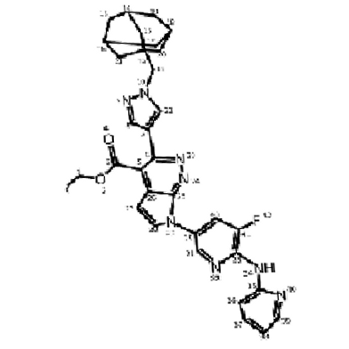 CCOC(=O)c1c(-c2cnn(CC34CC5CC(CC(C5)C3)C4)c2)nnc2c1ccn2-c1cnc(Nc2ccccn2)c(F)c1